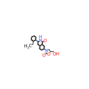 CCc1ccccc1-c1cc2ccc(N3CC(CO)OC3=O)cc2c(=O)[nH]1